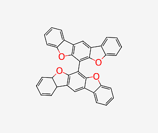 C1=CC2Oc3c(cc4c(oc5ccccc54)c3-c3c4oc5ccccc5c4cc4c3oc3ccccc34)C2C=C1